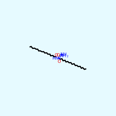 CCCCCCCCCCCCCCCCCC(=O)NN(C(=O)CCCCCCCCCCCCCCCCC)C(=O)NN